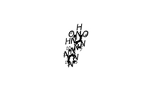 O=c1[nH]c(=O)c2ncn(-n3cnc4cncnc43)c2[nH]1